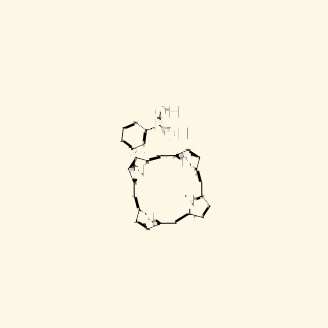 C1=CC2=NC1=CC1=NC(=CC3=NC(=CC4=NC(=C2)C=C4)C=C3)C=C1.OB(O)c1ccccc1